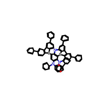 C1=CCC(c2ccc3c(c2)-c2cc(-c4ccccc4)cc4c2B3c2cc(N(c3ccccc3)c3ccccc3)c(-n3c5ccccc5c5ccccc53)c3c2N4c2cc(-c4ccccc4)cc4c2B3c2ccc(-c3ccccc3)cc2-4)C=C1